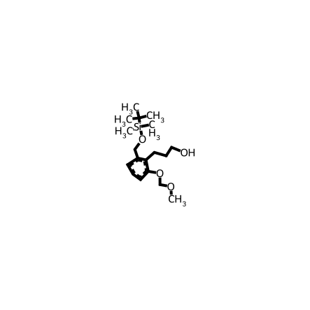 COCOc1cccc(CO[Si](C)(C)C(C)(C)C)c1CCCO